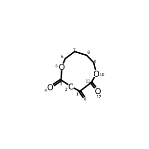 C=C1CC(=O)OCCCCOC1=O